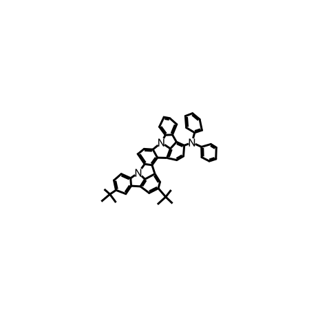 CC(C)(C)c1ccc2c(c1)c1cc(C(C)(C)C)cc3c4c5c6ccc(N(c7ccccc7)c7ccccc7)c7c8ccccc8n(c5ccc4n2c13)c67